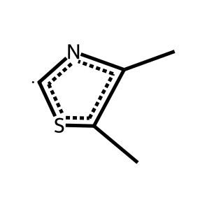 Cc1n[c]sc1C